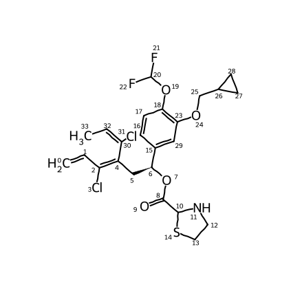 C=C/C(Cl)=C(C[C@H](OC(=O)C1NCCS1)c1ccc(OC(F)F)c(OCC2CC2)c1)\C(Cl)=C/C